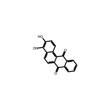 O=Nc1c(O)ccc2c3c(ccc12)C(=O)c1ccccc1C3=O